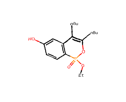 CCCCC1=C(CCCC)c2cc(O)ccc2P(=O)(OCC)O1